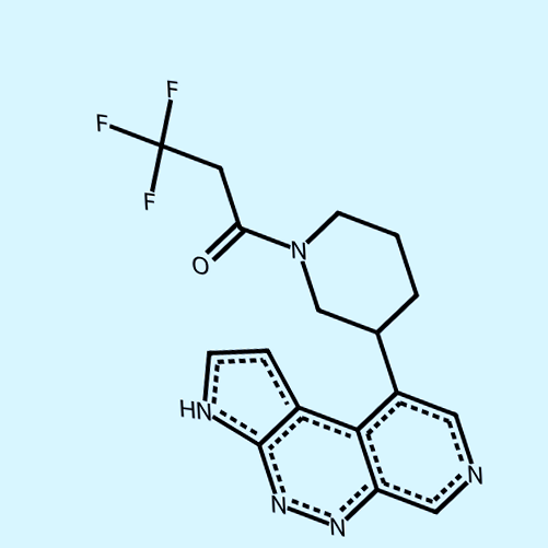 O=C(CC(F)(F)F)N1CCCC(c2cncc3nnc4[nH]ccc4c23)C1